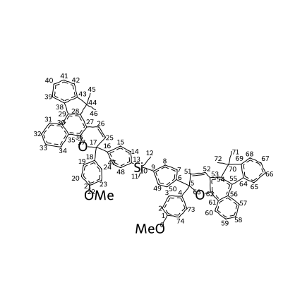 COc1ccc(C2(c3ccc([Si](C)(C)c4ccc(C5(c6ccc(OC)cc6)C=Cc6c7c(c8ccccc8c6O5)-c5ccccc5C7(C)C)cc4)cc3)C=Cc3c4c(c5ccccc5c3O2)-c2ccccc2C4(C)C)cc1